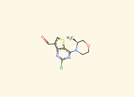 C[C@H]1COCCN1c1nc(Cl)nc2c(C=O)csc12